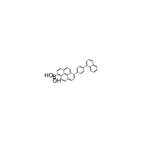 OB(O)c1ccc2ccc3c(-c4ccc(-c5cccc6ccccc56)cc4)ccc4ccc1c2c43